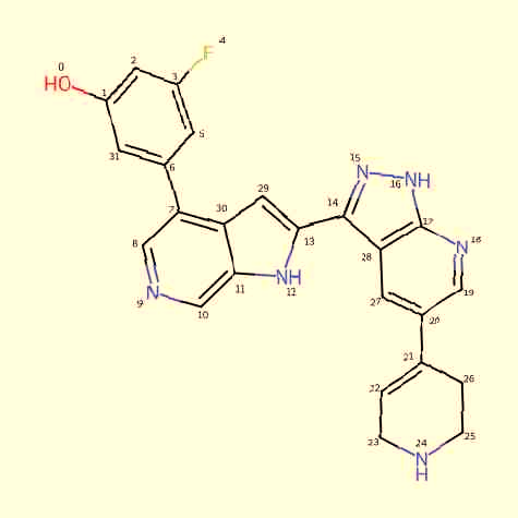 Oc1cc(F)cc(-c2cncc3[nH]c(-c4n[nH]c5ncc(C6=CCNCC6)cc45)cc23)c1